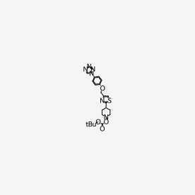 CC(C)(C)OC(=O)ON1CCC(c2nc(COc3ccc(-n4cnnn4)cc3)cs2)CC1